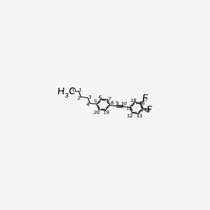 CCCCCc1ccc(C#Cc2ccc(F)c(F)c2)cc1